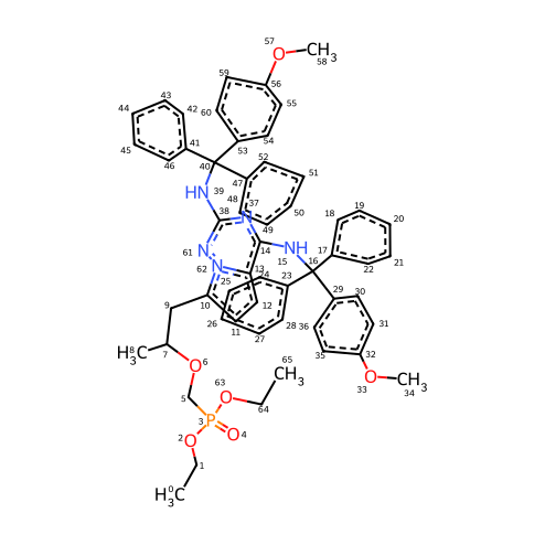 CCOP(=O)(COC(C)Cc1ccc2c(NC(c3ccccc3)(c3ccccc3)c3ccc(OC)cc3)nc(NC(c3ccccc3)(c3ccccc3)c3ccc(OC)cc3)nn12)OCC